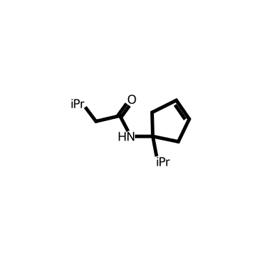 CC(C)CC(=O)NC1(C(C)C)CC=CC1